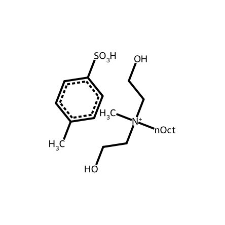 CCCCCCCC[N+](C)(CCO)CCO.Cc1ccc(S(=O)(=O)O)cc1